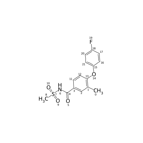 Cc1cc(C(=O)NS(C)(=O)=O)ccc1Oc1ccc(F)cc1